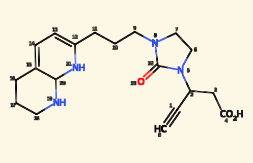 C#CC(CC(=O)O)N1CCN(CCCC2=CC=C3CCCNC3N2)C1=O